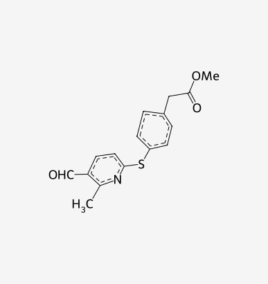 COC(=O)Cc1ccc(Sc2ccc(C=O)c(C)n2)cc1